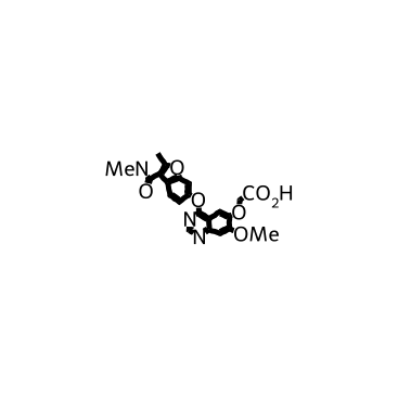 CNC(=O)c1c(C)oc2cc(Oc3ncnc4cc(OC)c(OCC(=O)O)cc34)ccc12